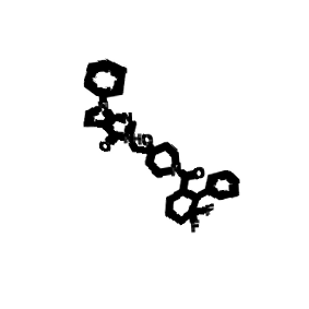 O=C(C1CCCC(F)(F)C1c1ccccc1)N1CCC(O)(Cn2cnc3c(ccn3-c3ccccc3)c2=O)CC1